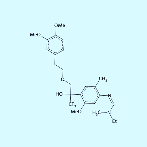 CCN(C)/C=N\c1cc(OC)c(C(O)(COCCc2ccc(OC)c(OC)c2)C(F)(F)F)cc1C